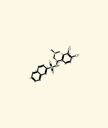 CN(C)C[C@H](NS(=O)(=O)c1ccc2ccccc2c1)c1ccc(Cl)c(Cl)c1